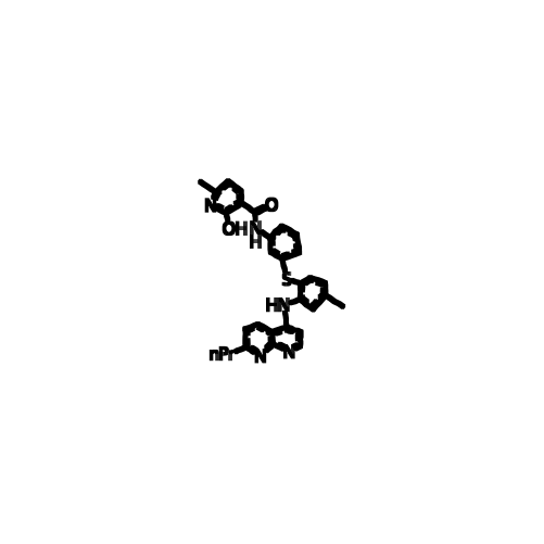 CCCc1ccc2c(Nc3cc(C)ccc3Sc3cccc(NC(=O)c4ccc(C)nc4O)c3)ccnc2n1